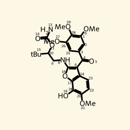 COc1cc(C(=O)c2c(NCC(OC(N)=O)C(C)(C)C)oc3c(O)c(OC)ccc23)cc(OC)c1OC